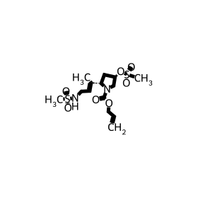 C=CCOC(=O)N1C[C@H](OS(C)(=O)=O)C[C@H]1C(C)=CCNS(C)(=O)=O